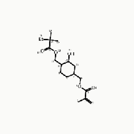 C=C(C)C(=O)OCC1CCC(COC(=O)C(C)(C)CC)C(O)C1